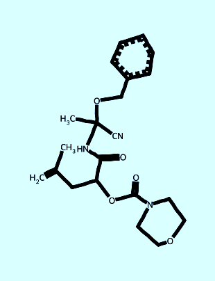 C=C(C)CC(OC(=O)N1CCOCC1)C(=O)NC(C)(C#N)OCc1ccccc1